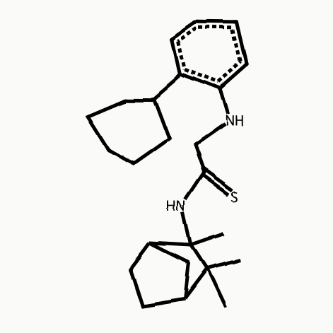 CC1(C)C2CCC(C2)C1(C)NC(=S)CNc1ccccc1C1CCCCC1